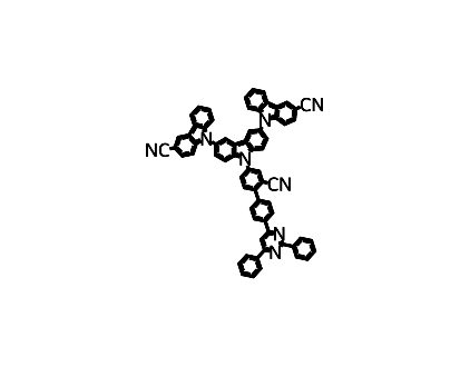 N#Cc1ccc2c(c1)c1ccccc1n2-c1ccc2c(c1)c1cc(-n3c4ccccc4c4cc(C#N)ccc43)ccc1n2-c1ccc(-c2ccc(-c3cc(-c4ccccc4)nc(-c4ccccc4)n3)cc2)c(C#N)c1